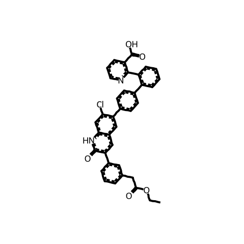 CCOC(=O)Cc1cccc(-c2cc3cc(-c4ccc(-c5ccccc5-c5ncccc5C(=O)O)cc4)c(Cl)cc3[nH]c2=O)c1